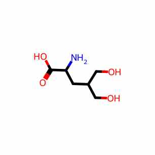 NC(CC(CO)CO)C(=O)O